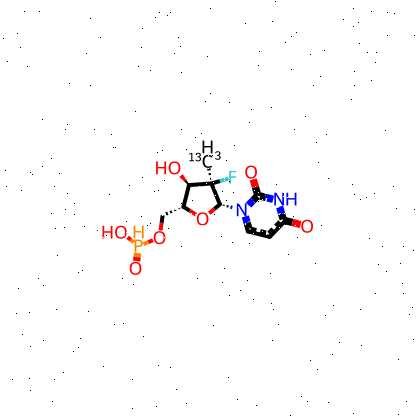 [13CH3][C@@]1(F)[C@H](O)[C@@H](CO[PH](=O)O)O[C@H]1n1ccc(=O)[nH]c1=O